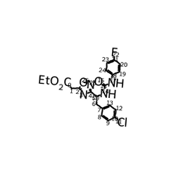 CCOC(=O)Cc1nc([C@H](Cc2ccc(Cl)cc2)NC(=O)Nc2ccc(F)cc2)no1